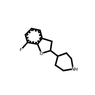 Fc1cccc2c1OC(C1CCNCC1)C2